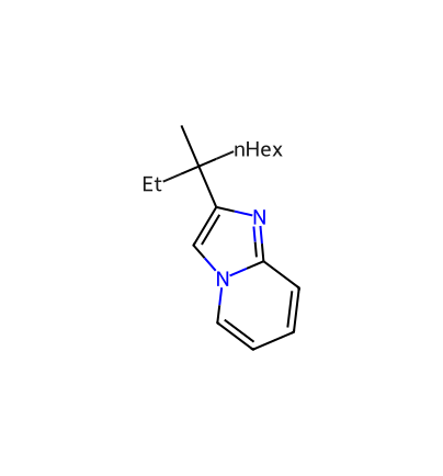 CCCCCCC(C)(CC)c1cn2ccccc2n1